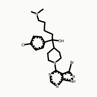 CN(C)CCCCC(O)(c1ccc(Cl)cc1)C1CCN(c2ncnc3[nH]nc(Br)c23)CC1